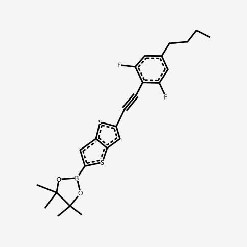 CCCCc1cc(F)c(C#Cc2cc3sc(B4OC(C)(C)C(C)(C)O4)cc3s2)c(F)c1